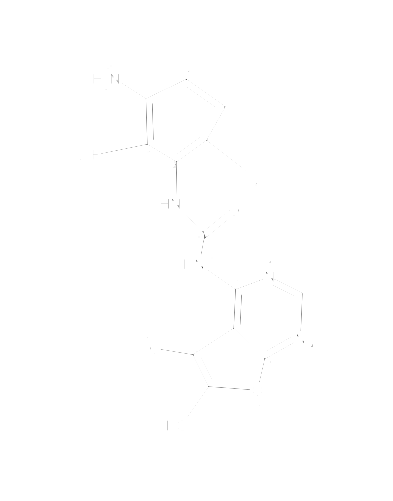 Cc1oc2ncnc(NC(=O)Nc3c(Cl)ccc(N)c3F)c2c1C